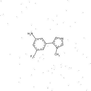 Cn1cncc1-c1cc(N)cc(C(F)(F)F)c1